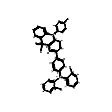 Cc1ccc(N2c3ccccc3C(C)(C)c3cc(-c4ccc(N(c5ccccc5C)c5ccccc5C)cc4)ccc32)cc1